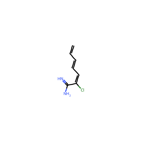 C=C/C=C/C=C(/Cl)C(=N)N